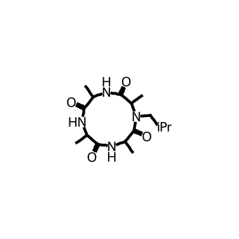 CC(C)CN1C(=O)C(C)NC(=O)C(C)NC(=O)C(C)NC(=O)C1C